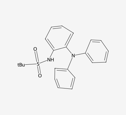 CC(C)(C)S(=O)(=O)Nc1ccccc1N(c1ccccc1)c1ccccc1